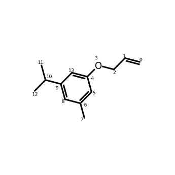 C=CCOc1cc(C)cc(C(C)C)c1